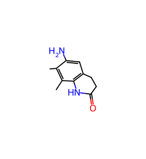 Cc1c(N)cc2c(c1C)NC(=O)CC2